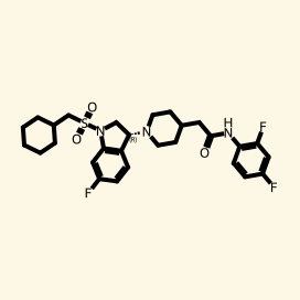 O=C(CC1CCN([C@H]2CN(S(=O)(=O)CC3CCCCC3)c3cc(F)ccc32)CC1)Nc1ccc(F)cc1F